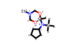 CCN1CO[Si](C)(N(C2CCCC2)[Si](C)(C)C)OC1